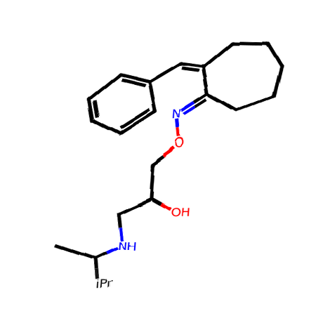 CC(C)C(C)NCC(O)CO/N=C1\CCCCC\C1=C\c1ccccc1